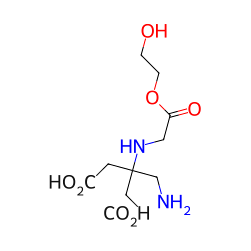 NCC(CC(=O)O)(CC(=O)O)NCC(=O)OCCO